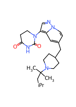 CC(C)CC(C)(C)N1CCC(Cc2ccn3ncc(N4CCC(=O)NC4=O)c3c2)CC1